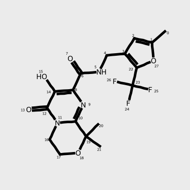 Cc1cc(CNC(=O)c2nc3n(c(=O)c2O)CCOC3(C)C)c(C(F)(F)F)o1